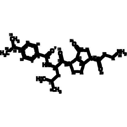 CC(C)CC(NC(=O)c1ccc(N(C)C)cc1)C(=O)N1CCC2C1C(=O)CN2C(=O)CCN